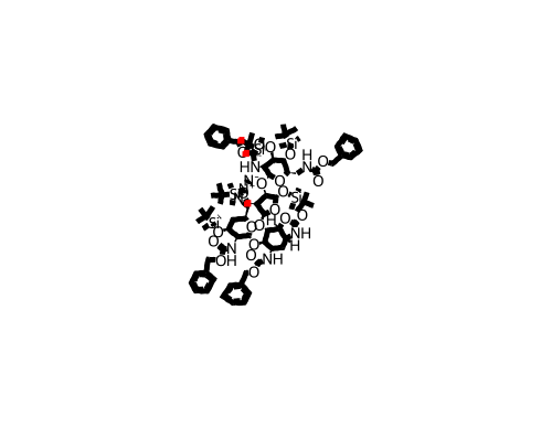 CC(C)(C)[Si](C)(C)OC[C@H]1[C@H](O[C@@H]2[C@H]3OC(=O)N[C@@H]3C[C@H](NC(=O)OCc3ccccc3)[C@H]2O[C@H]2O[C@H](CN=[N+]=[N-])C[C@H](O[Si](C)(C)C(C)(C)C)[C@H]2NC(=O)OCc2ccccc2)O[C@H](O[Si](C)(C)C(C)(C)C)[C@H]1O[C@H]1O[C@@H](CNC(=O)OCc2ccccc2)[C@@H](O[Si](C)(C)C(C)(C)C)[C@H](O[Si](C)(C)C(C)(C)C)[C@H]1NC(=O)OCc1ccccc1